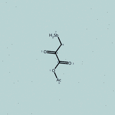 CC(=O)OC(=O)C(=O)[CH2][SbH2]